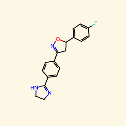 Fc1ccc(C2CC(c3ccc(C4=NCCN4)cc3)=NO2)cc1